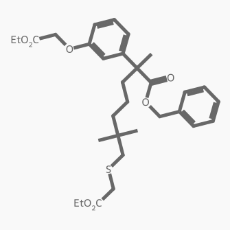 CCOC(=O)COc1cccc(C(C)(CCCC(C)(C)CSCC(=O)OCC)C(=O)OCc2ccccc2)c1